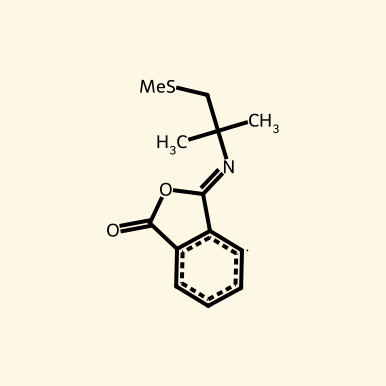 CSCC(C)(C)N=C1OC(=O)c2ccc[c]c21